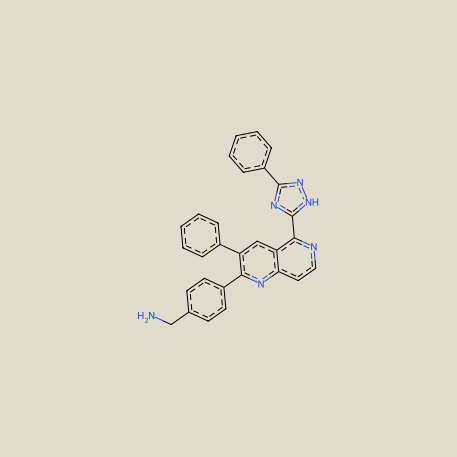 NCc1ccc(-c2nc3ccnc(-c4nc(-c5ccccc5)n[nH]4)c3cc2-c2ccccc2)cc1